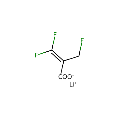 O=C([O-])C(CF)=C(F)F.[Li+]